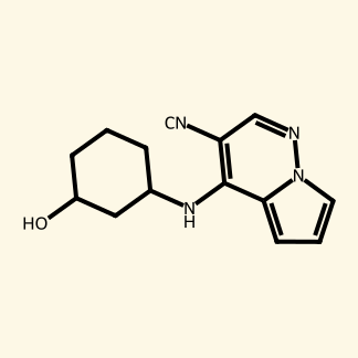 [C-]#[N+]c1cnn2cccc2c1NC1CCCC(O)C1